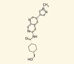 Cn1cc(-c2cnc3cnc(NC(=O)[C@H]4CC[C@H](CO)CC4)cc3c2)cn1